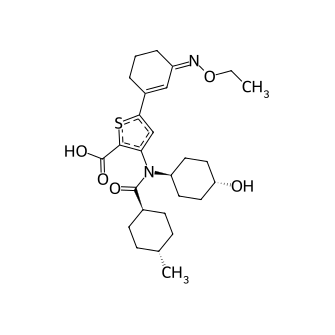 CCON=C1C=C(c2cc(N(C(=O)[C@H]3CC[C@H](C)CC3)[C@H]3CC[C@H](O)CC3)c(C(=O)O)s2)CCC1